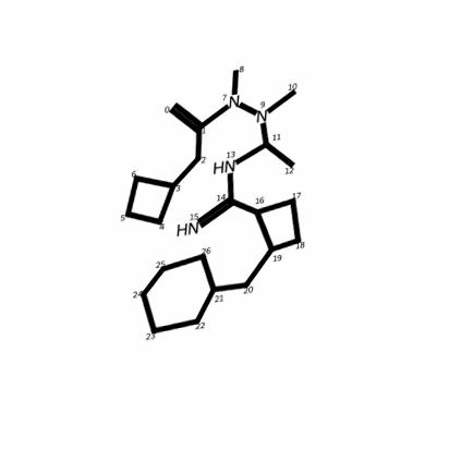 C=C(CC1CCC1)N(C)N(C)C(C)NC(=N)C1CCC1CC1CCCCC1